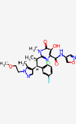 COCCn1ncc([C@H](c2cc(F)ccc2Cl)[C@@H](C)c2nc(C(=O)Nc3cnoc3)c(O)c(=O)n2C)c1C